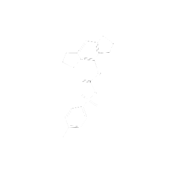 O=C(Nc1c2c(cc3c1CCC3)CCC2)NS(=O)(=O)c1ccc(I)cc1